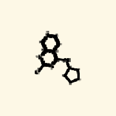 Clc1nc(NC2CCCC2)c2ccncc2n1